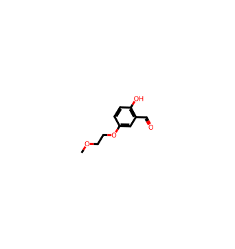 COCCOc1ccc(O)c(C=O)c1